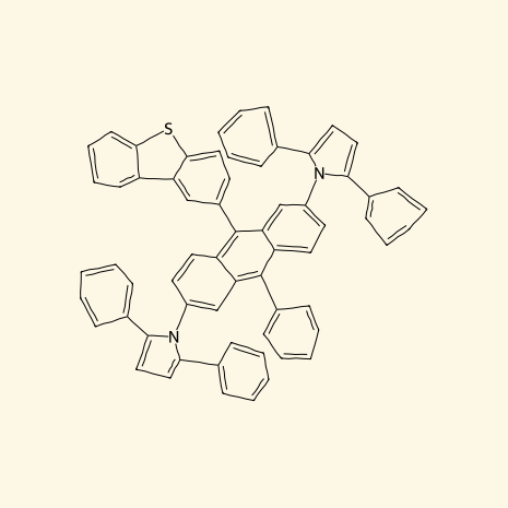 c1ccc(-c2c3ccc(-n4c(-c5ccccc5)ccc4-c4ccccc4)cc3c(-c3ccc4sc5ccccc5c4c3)c3ccc(-n4c(-c5ccccc5)ccc4-c4ccccc4)cc23)cc1